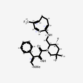 CN/C=C(\C(=N)C(=O)N1CC(F)(F)C[C@@H](C)C1CNC1=C/CC/C=C(C(F)(F)F)/C=N\1)c1ccccc1